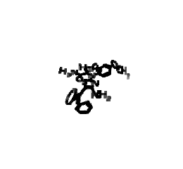 C=C(C(N)=O)N(c1nc(N)c(C(=O)c2ccccc2)s1)c1ccc(OC)cc1C